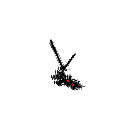 CCCCCCCCCCCCC/C=C/[C@@H](O)[C@H](CO[C@@H]1OC(CO)[C@@H](O[C@@H]2OC(CO)[C@H](O)[C@H](O[C@@H]3OC(CO)[C@@H](O[C@@H]4OC(CO)[C@H](O)[C@H](O[C@]5(C(=O)O)CC(O)[C@@H](NC(=O)CO)C([C@H](O)[C@@H](CO)O[C@]6(C(=O)O)CC(O)[C@@H](NC(C)=O)C([C@H](O)[C@H](O)CO)O6)O5)C4O)[C@H](O)C3NC(C)=O)C2O)[C@H](O)C1O)NC(=O)CCCCCCCCCCCCCCCCCCCCCCCCC